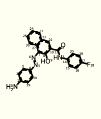 Nc1ccc(N=Nc2c(O)c(C(=O)Nc3ccc(F)cc3)cc3ccccc23)cc1